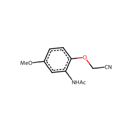 COc1ccc(OCC#N)c(NC(C)=O)c1